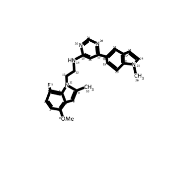 COc1ccc(F)c2c1cc(C)n2CCNc1cc(-c2ccc3c(ccn3C)c2)ncn1